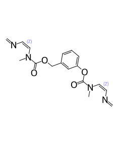 C=N/C=C\N(C)C(=O)OCc1cccc(OC(=O)N(C)/C=C\N=C)c1